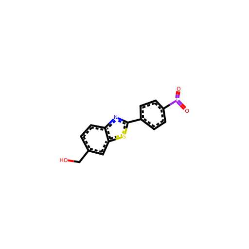 O=I(=O)c1ccc(-c2nc3ccc(CO)cc3s2)cc1